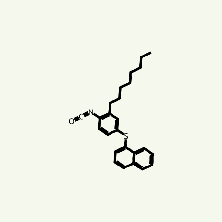 CCCCCCCCc1cc(Sc2cccc3ccccc23)ccc1N=C=O